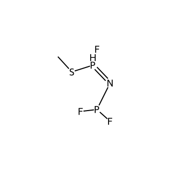 CS/[PH](F)=N\P(F)F